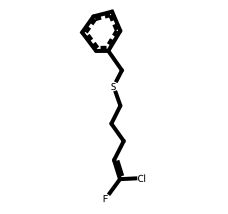 FC(Cl)=CCCCSCc1ccccc1